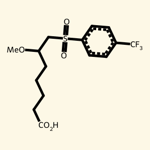 COC(CCCCC(=O)O)CS(=O)(=O)c1ccc(C(F)(F)F)cc1